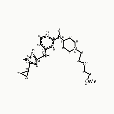 COCCOCCN1CCC(N(C)c2nccc(Nc3cc(C4CC4)[nH]n3)n2)CC1